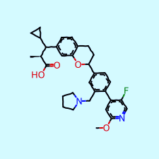 COc1cc(-c2ccc(C3CCc4ccc(C(C5CC5)[C@H](C)C(=O)O)cc4O3)cc2CN2CCCC2)c(F)cn1